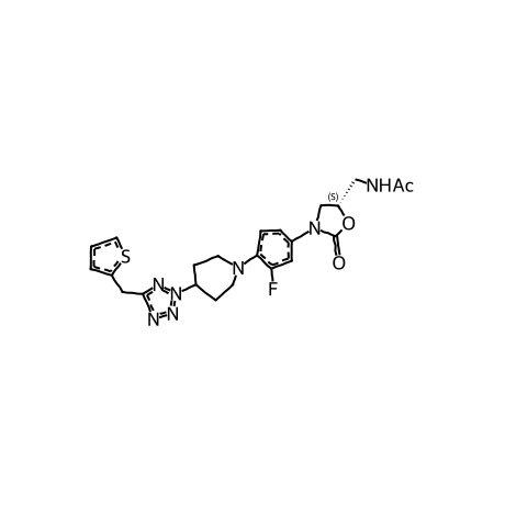 CC(=O)NC[C@H]1CN(c2ccc(N3CCC(n4nnc(Cc5cccs5)n4)CC3)c(F)c2)C(=O)O1